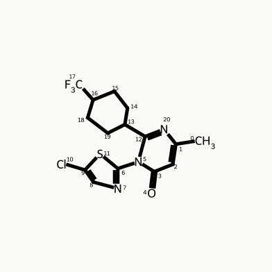 Cc1cc(=O)n(-c2ncc(Cl)s2)c(C2CCC(C(F)(F)F)CC2)n1